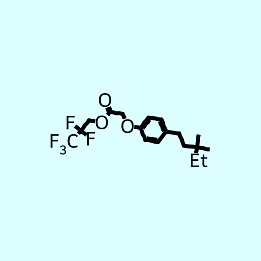 CCC(C)(C)CCc1ccc(OCC(=O)OCC(F)(F)C(F)(F)F)cc1